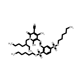 CCCCCCOS(=O)(=O)c1ccc(S(=O)(=O)OCCCCCC)c(/N=N/c2c(C)c(C#N)c(=O)n(CC(CC)CCCC)c2O)c1